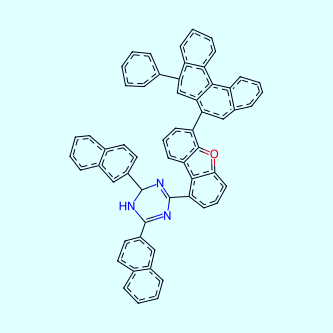 c1ccc(-c2cc3c(-c4cccc5c4oc4cccc(C6=NC(c7ccc8ccccc8c7)NC(c7ccc8ccccc8c7)=N6)c45)cc4ccccc4c3c3ccccc23)cc1